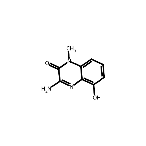 Cn1c(=O)c(N)nc2c(O)cccc21